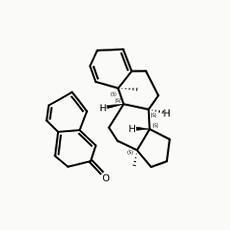 C[C@@]12CCC[C@H]1[C@@H]1CCC3=CCC=C[C@]3(C)[C@H]1CC2.O=C1C=c2ccccc2=CC1